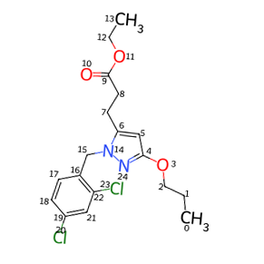 CCCOc1cc(CCC(=O)OCC)n(Cc2ccc(Cl)cc2Cl)n1